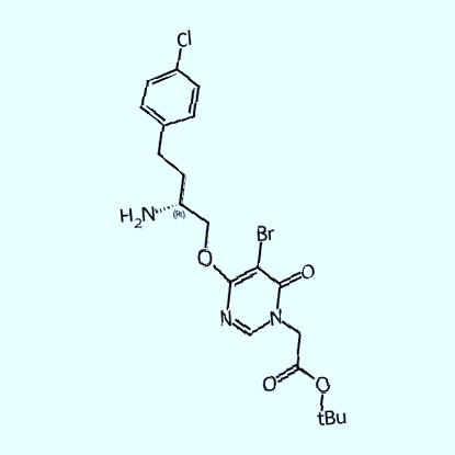 CC(C)(C)OC(=O)Cn1cnc(OC[C@H](N)CCc2ccc(Cl)cc2)c(Br)c1=O